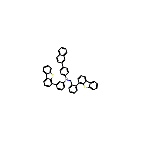 c1cc(-c2cccc3c2sc2ccccc23)cc(N(Cc2ccccc2-c2cccc3c2sc2ccccc23)c2ccc(-c3ccc4ccccc4c3)cc2)c1